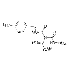 CCCCNC(=O)N(C(=N)OC)C(=O)NSc1ccc(C#N)cc1